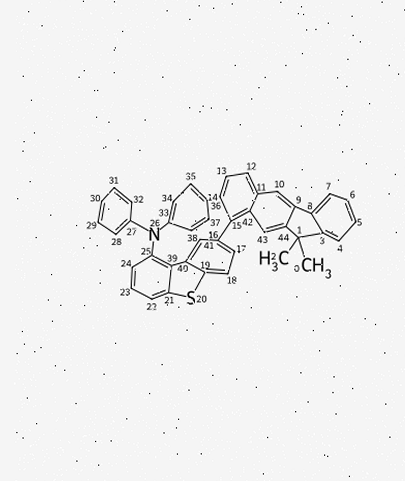 CC1(C)c2ccccc2-c2cc3cccc(-c4ccc5sc6cccc(N(c7ccccc7)c7ccccc7)c6c5c4)c3cc21